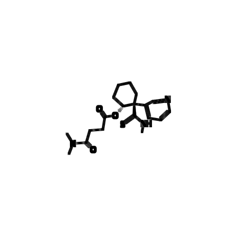 CNC(=S)[C@]1(c2cccnc2)CCCC[C@H]1OC(=O)CCC(=O)N(C)C